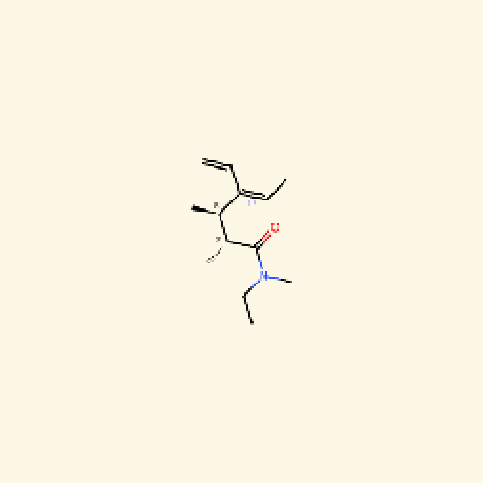 C=C/C(=C\C)[C@H](C)[C@@H](C)C(=O)N(C)CC